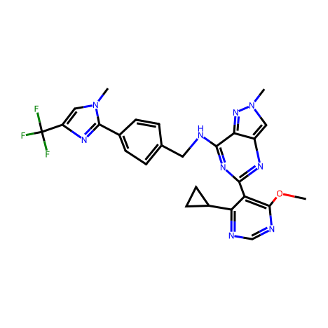 COc1ncnc(C2CC2)c1-c1nc(NCc2ccc(-c3nc(C(F)(F)F)cn3C)cc2)c2nn(C)cc2n1